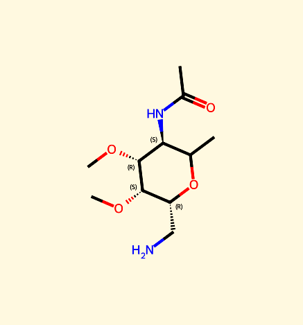 CO[C@@H]1[C@H](OC)[C@@H](NC(C)=O)C(C)O[C@@H]1CN